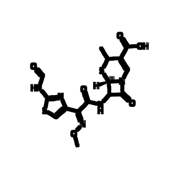 CON=C(C(=O)NC1C(=O)N2C=C(C(=O)O)C(C)S[C@H]12)c1csc(NC=O)n1